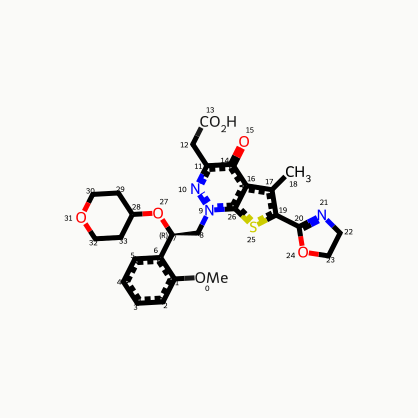 COc1ccccc1[C@H](Cn1nc(CC(=O)O)c(=O)c2c(C)c(C3=NCCO3)sc21)OC1CCOCC1